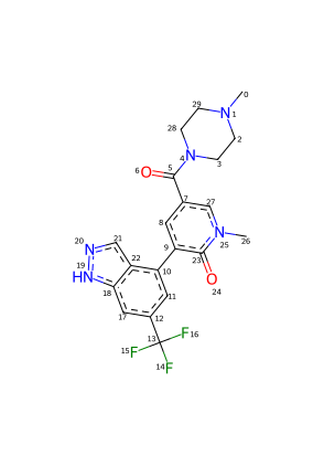 CN1CCN(C(=O)c2cc(-c3cc(C(F)(F)F)cc4[nH]ncc34)c(=O)n(C)c2)CC1